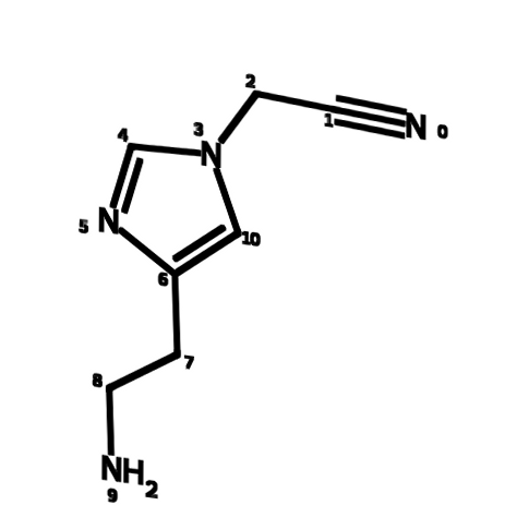 N#CCn1cnc(CCN)c1